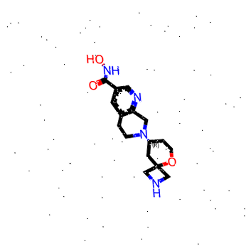 O=C(NO)c1cnc2c(c1)CCN([C@@H]1CCOC3(CNC3)C1)C2